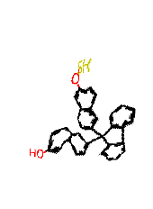 Oc1ccc2cc(C3(c4ccc5cc(OS)ccc5c4)c4ccccc4-c4ccccc43)ccc2c1